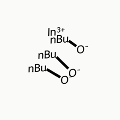 CCCC[O-].CCCC[O-].CCCC[O-].[In+3]